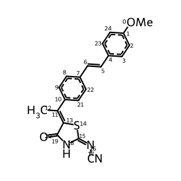 COc1ccc(/C=C/c2ccc(C(C)=C3SC(=NC#N)NC3=O)cc2)cc1